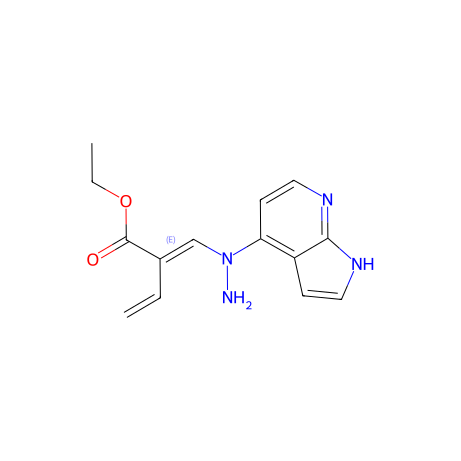 C=C/C(=C\N(N)c1ccnc2[nH]ccc12)C(=O)OCC